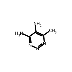 Cc1nnnc(N)c1N